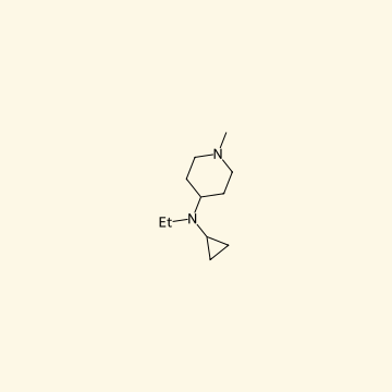 CCN(C1CC1)C1CCN(C)CC1